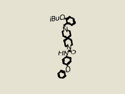 CC(C)COc1ccccc1CN1CCC2(CC1)CCN(C(=O)Nc1ccc(Oc3ccccc3)cc1)CC2